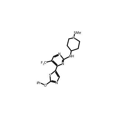 CSN1CCC(Nc2ncc(C(F)(F)F)c(-c3cnc(OC(C)C)s3)n2)CC1